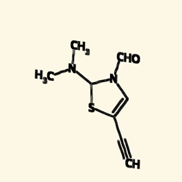 C#CC1=CN(C=O)C(N(C)C)S1